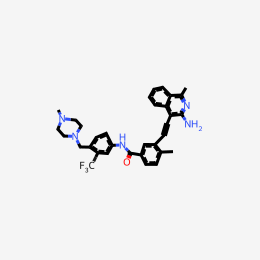 Cc1ccc(C(=O)Nc2ccc(CN3CCN(C)CC3)c(C(F)(F)F)c2)cc1C#Cc1c(N)nc(C)c2ccccc12